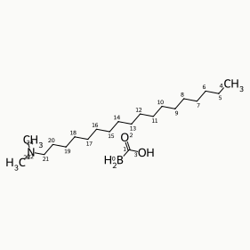 BC(=O)O.CCCCCCCCCCCCCCCCCCN(C)C